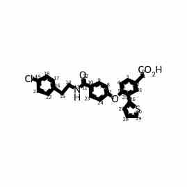 O=C(O)Cc1ccc(Oc2ccc(C(=O)NCCc3ccc(Cl)cc3)cc2)c(-c2cccs2)c1